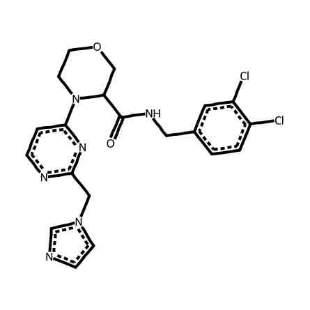 O=C(NCc1ccc(Cl)c(Cl)c1)C1COCCN1c1ccnc(Cn2ccnc2)n1